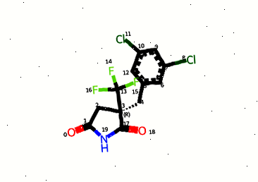 O=C1C[C@@](Cc2cc(Cl)cc(Cl)c2)(C(F)(F)F)C(=O)N1